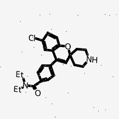 CCN(CC)C(=O)c1ccc(C2=CC3(CCNCC3)Oc3ccc(Cl)cc32)cc1